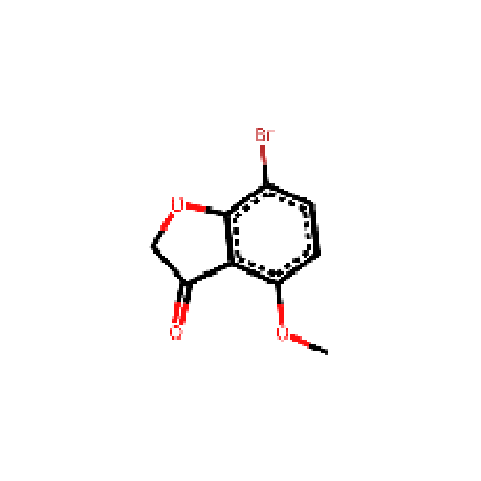 COc1ccc(Br)c2c1C(=O)CO2